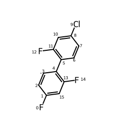 Fc1c[c]c(-c2ccc(Cl)cc2F)c(F)c1